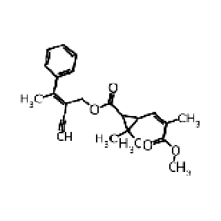 C#CC(COC(=O)C1C(C=C(C)C(=O)OC)C1(C)C)=C(C)c1ccccc1